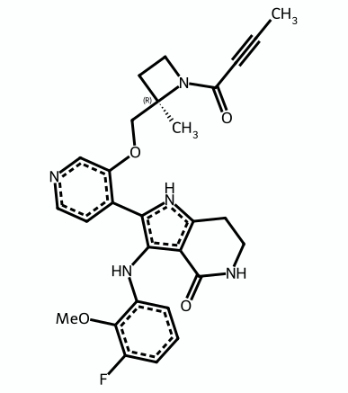 CC#CC(=O)N1CC[C@]1(C)COc1cnccc1-c1[nH]c2c(c1Nc1cccc(F)c1OC)C(=O)NCC2